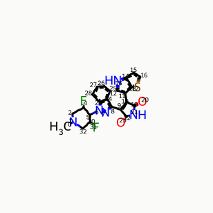 CN1CC(F)C(n2nc(C3=C(c4c[nH]c5ccsc45)C(=O)NC3=O)c3ccccc32)C(F)C1